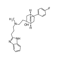 CN(CCCc1nc2ccccc2[nH]1)CC[C@@]1(O)C[C@@H]2CC[C@H]1C=C2c1ccc(F)cc1